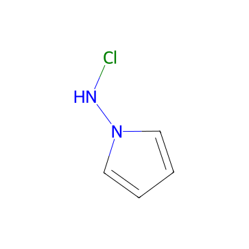 ClNn1cccc1